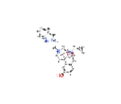 Oc1ccc2c(c1)C13CCN(CCn4cc5ccccc5n4)CCC1(O)C(C2)N(CC1CC1)CC3